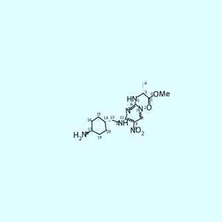 COC(=O)[C@@H](C)Nc1ncc([N+](=O)[O-])c(NC[C@H]2CC[C@H](N)CC2)n1